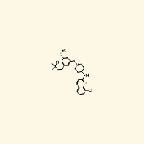 CCOc1cc(CN2CCC(Nc3ccc4cccc(Cl)c4n3)CC2)cc2c1OC(C)(C)C=C2